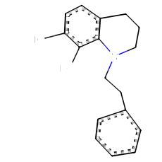 Cc1c(C=O)ccc2c1N(CCc1ccccc1)CCC2